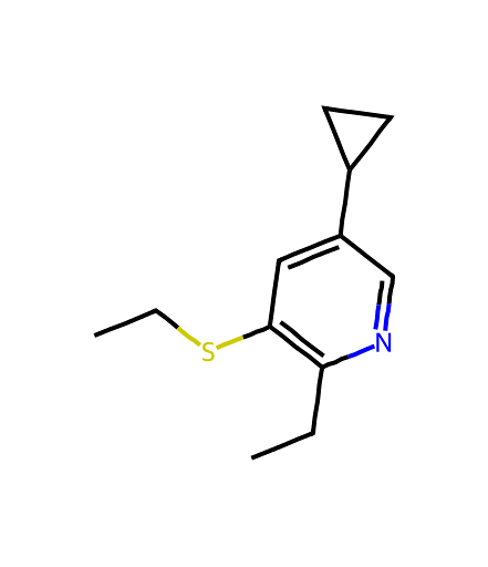 CCSc1cc(C2CC2)cnc1CC